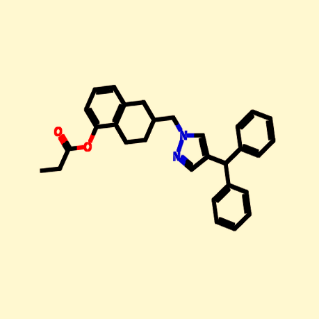 CCC(=O)Oc1cccc2c1CCC(Cn1cc(C(c3ccccc3)c3ccccc3)cn1)C2